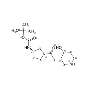 CC(C)(C)OC(=O)N[C@@H]1CCN(C(=O)CC2CNCCC2O)C1